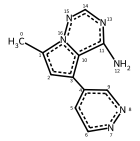 Cc1cc(-c2ccnnc2)c2c(N)ncnn12